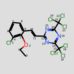 CCOc1c(Cl)cccc1C=Cc1nc(C(Cl)(Cl)Cl)nc(C(Cl)(Cl)Cl)n1